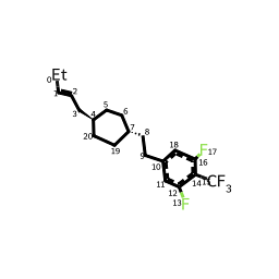 CC/C=C/C[C@H]1CC[C@H](CCc2cc(F)c(C(F)(F)F)c(F)c2)CC1